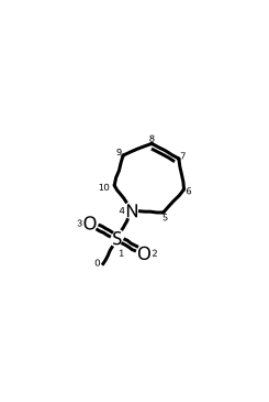 CS(=O)(=O)N1CCC=CCC1